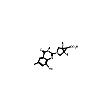 CC(=O)c1cc(C)cc2c(=O)n(C)c(N3C[C@@H]4C(C(=O)O)[C@@H]4C3)nc12